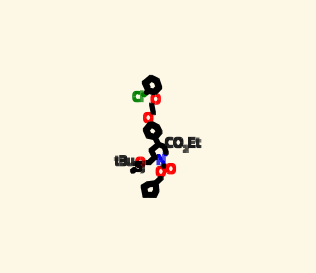 CCOC(=O)C1CN(C(=O)OCc2ccccc2)C(CO[Si](C)(C)C(C)(C)C)CC1c1ccc(OCCOc2ccccc2Cl)cc1